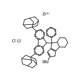 CC(C)(C)C1=CC2=C(C1)C1CCCCC1C2(c1ccccc1)C1c2ccc(C34CC5CC(CC(C5)C3)C4)cc2-c2cc(C34CC5CC(CC(C5)C3)C4)ccc21.[Cl-].[Cl-].[Zr+2]